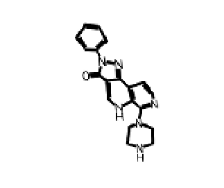 O=c1c2c[nH]c3c(N4CCNCC4)nccc3c-2nn1-c1ccccc1